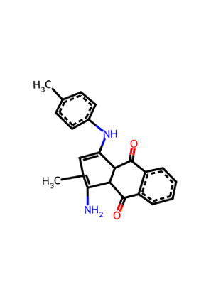 CC1=C(N)C2C(=O)c3ccccc3C(=O)C2C(Nc2ccc(C)cc2)=C1